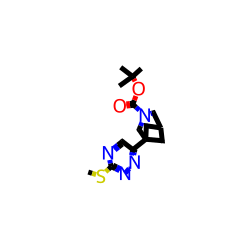 CSc1ncc(C23CC(CN(C(=O)OC(C)(C)C)C2)C3)nn1